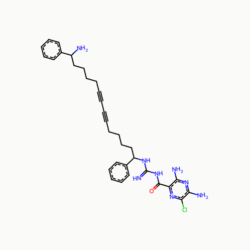 N=C(NC(=O)c1nc(Cl)c(N)nc1N)NC(CCCCC#CC#CCCCCC(N)c1ccccc1)c1ccccc1